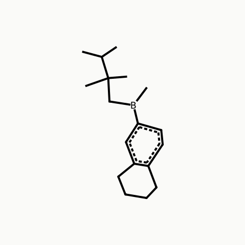 CB(CC(C)(C)C(C)C)c1ccc2c(c1)CCCC2